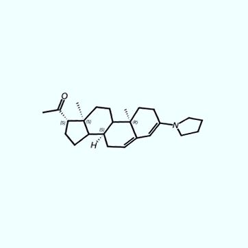 CC(=O)[C@H]1CCC2[C@@H]3CC=C4C=C(N5CCCC5)CC[C@]4(C)C3CC[C@@]21C